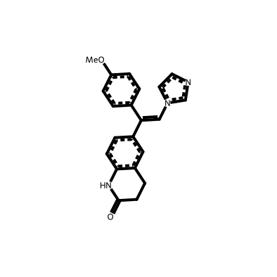 COc1ccc(C(=Cn2ccnc2)c2ccc3c(c2)CCC(=O)N3)cc1